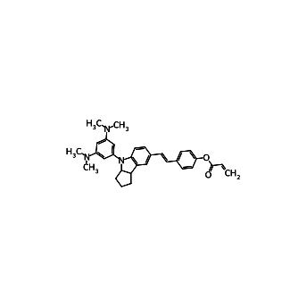 C=CC(=O)Oc1ccc(C=Cc2ccc3c(c2)C2CCCC2N3c2cc(N(C)C)cc(N(C)C)c2)cc1